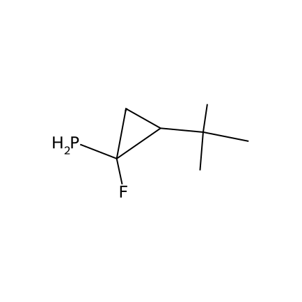 CC(C)(C)C1CC1(F)P